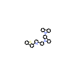 c1cc(-c2cccc(-c3cccc4c3sc3ccccc34)n2)cc(-n2c3ccccc3c3cc(-n4c5ccccc5c5ccccc54)ccc32)c1